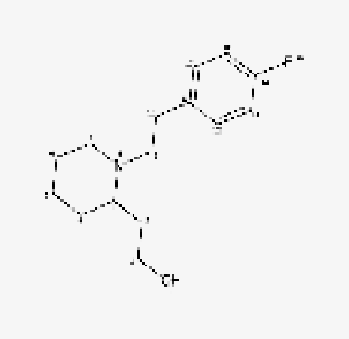 O[CH]CC1CCCCN1CCc1ccc(F)cc1